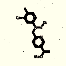 C=C(OC)c1ccc(CN(SCC)c2ccc(C)c(Cl)c2)nc1